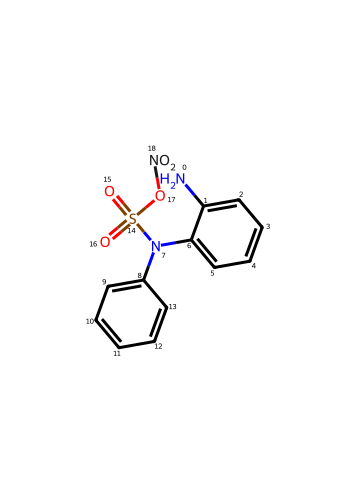 Nc1ccccc1N(c1ccccc1)S(=O)(=O)O[N+](=O)[O-]